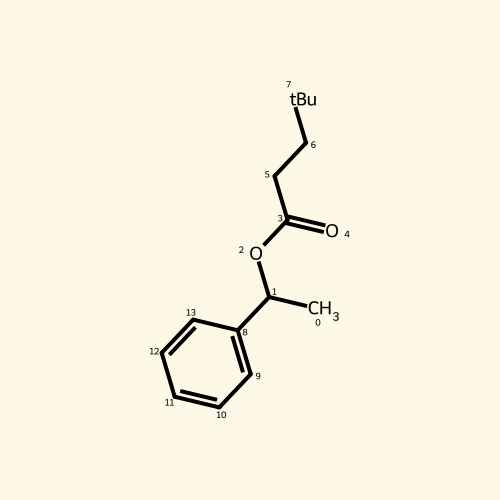 CC(OC(=O)CCC(C)(C)C)c1ccccc1